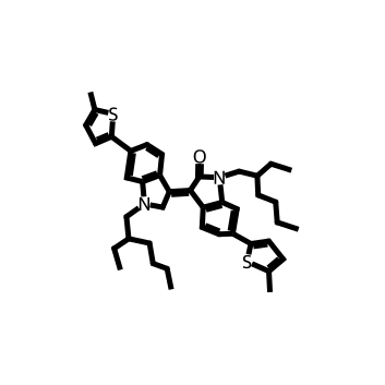 CCCCC(CC)CN1C/C(=C2/C(=O)N(CC(CC)CCCC)c3cc(-c4ccc(C)s4)ccc32)c2ccc(-c3ccc(C)s3)cc21